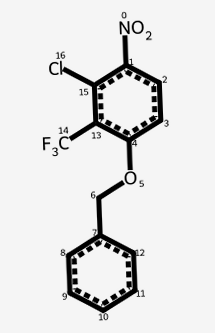 O=[N+]([O-])c1ccc(OCc2ccccc2)c(C(F)(F)F)c1Cl